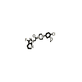 COc1cc(N2CCN(C(=O)Cn3nc(F)c4cccnc43)CC2)ccc1Cl